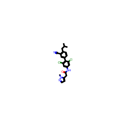 CC(C)Cc1ccc(-c2c(Cl)cc(NC(=O)Cc3ccnn3C)cc2Cl)cc1C#N